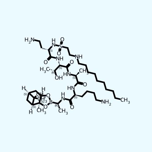 CCCCCCCCCCNCCS(=O)(=O)N[C@@H](CCN)C(=O)N[C@H](C(=O)N[C@@H](C)C(=O)N[C@@H](CCCCN)C(=O)N[C@@H](C)B1O[C@@H]2C[C@@H]3C[C@@H](C3(C)C)[C@]2(C)O1)[C@@H](C)O